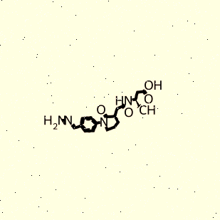 C#C[C@H](CC(=O)O)NC(=O)CC1CCCN(c2ccc(C=NN)cc2)C1=O